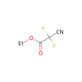 CCOC(=O)C(F)(F)C#N